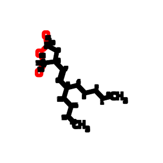 CCCCCC(C=CC1CC(=O)OC1=O)CCCC